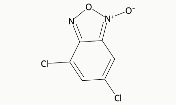 [O-][n+]1onc2c(Cl)cc(Cl)cc21